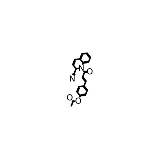 CC(=O)Oc1ccc(C=CC(=O)N2c3ccccc3C=CC2C#N)cc1